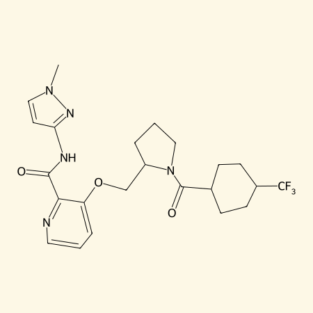 Cn1ccc(NC(=O)c2ncccc2OCC2CCCN2C(=O)C2CCC(C(F)(F)F)CC2)n1